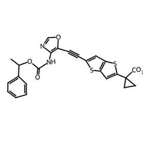 CC(OC(=O)Nc1ncoc1C#Cc1cc2sc(C3(C(=O)O)CC3)cc2s1)c1ccccc1